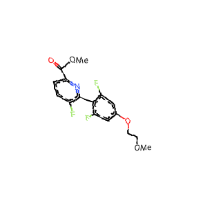 COCCOc1cc(F)c(-c2nc(C(=O)OC)ccc2F)c(F)c1